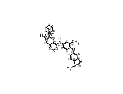 CC(=O)N1C2CC1CN(c1ncc3ncnc(Nc4ccc(Oc5ccc6c(c5)ncn6C)c(C)c4)c3n1)C2